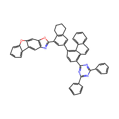 c1ccc(-c2nc(-c3ccccc3)nc(-c3ccc(-c4cc5c(c(-c6nc7cc8c(cc7o6)oc6ccccc68)c4)CCCC5)c4c3ccc3ccccc34)n2)cc1